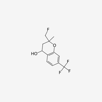 CC1(CF)CC(O)c2ccc(C(F)(F)F)cc2O1